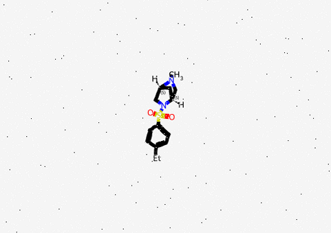 CCc1ccc(S(=O)(=O)N2C[C@@H]3C[C@H]2CN3C)cc1